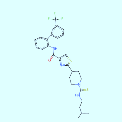 CC(C)CCNC(=S)N1CCC(c2nc(C(=O)Nc3ccccc3-c3cccc(C(F)(F)F)c3)cs2)CC1